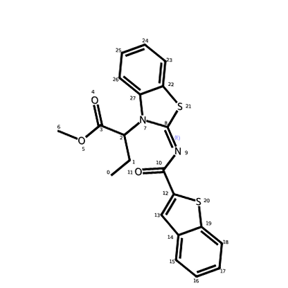 CCC(C(=O)OC)n1/c(=N\C(=O)c2cc3ccccc3s2)sc2ccccc21